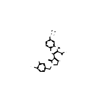 Cc1cc(CN2C(=O)C(C3=C(C(N)=O)S(=O)(=O)c4cc(NS(C)(=O)=O)ccc4N3)=C(O)[C@@H]2C(C)(C)C)ccc1F